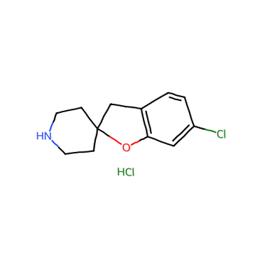 Cl.Clc1ccc2c(c1)OC1(CCNCC1)C2